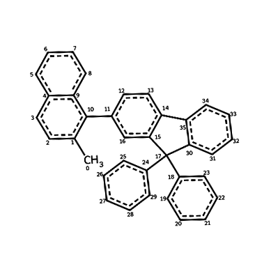 Cc1ccc2ccccc2c1-c1ccc2c(c1)C(c1ccccc1)(c1ccccc1)c1ccccc1-2